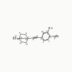 CCCc1ccc(C#CC23CCC(CC)(CC2)CC3)cc1F